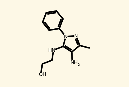 Cc1nn(-c2ccccc2)c(NCCO)c1N